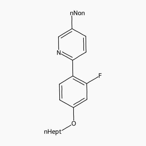 CCCCCCCCCc1ccc(-c2ccc(OCCCCCCC)cc2F)nc1